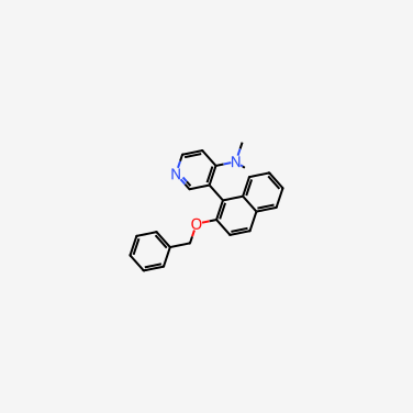 CN(C)c1ccncc1-c1c(OCc2ccccc2)ccc2ccccc12